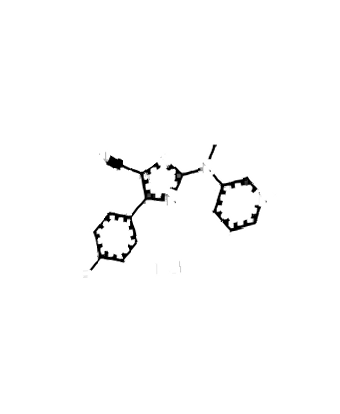 CN(c1cccnc1)c1nc(-c2ccc(F)cc2)c(C#N)s1.Cl